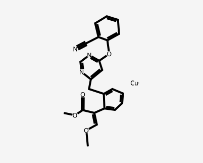 COC=C(C(=O)OC)c1ccccc1Cc1cc(Oc2ccccc2C#N)ncn1.[Cu]